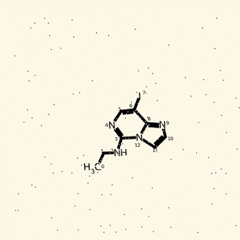 CCNc1ncc(I)c2nccn12